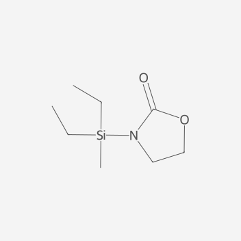 CC[Si](C)(CC)N1CCOC1=O